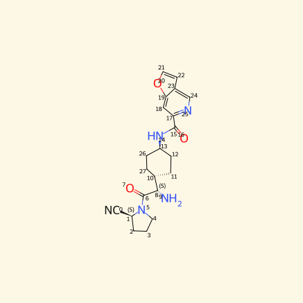 N#C[C@@H]1CCCN1C(=O)[C@@H](N)[C@H]1CC[C@H](NC(=O)c2cc3occc3cn2)CC1